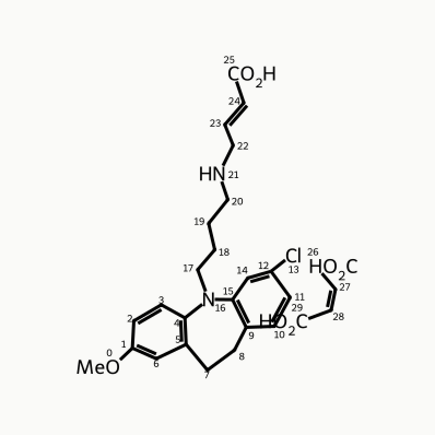 COc1ccc2c(c1)CCc1ccc(Cl)cc1N2CCCCNC/C=C/C(=O)O.O=C(O)/C=C\C(=O)O